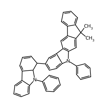 CC1(C)c2ccccc2-c2cc3c4cc(C5C=CC=C6c7ccccc7N(c7ccccc7)C65)ccc4n(-c4ccccc4)c3cc21